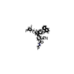 CN1C[C@H](F)C[C@H]1COc1nc2c(c(N3CCN(C(=O)/C=C/CF)[C@@H](CC#N)C3)n1)CCN(c1cccc3cccc(Cl)c13)C2